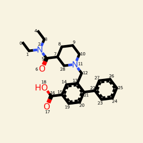 CCN(CC)C(=O)C1CCCN(Cc2cc(C(=O)O)ccc2-c2ccccc2)C1